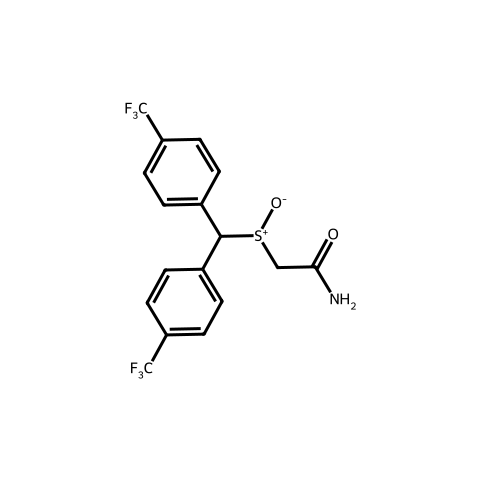 NC(=O)C[S+]([O-])C(c1ccc(C(F)(F)F)cc1)c1ccc(C(F)(F)F)cc1